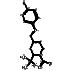 CC(C)(C)C1CC(COc2ccc(Cl)nc2)CCN1C(=O)O